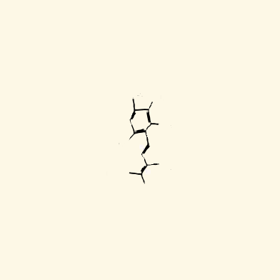 CCOC(=O)/C(F)=C(C)\C=C\c1c(C)cc(OC)c(C)c1C